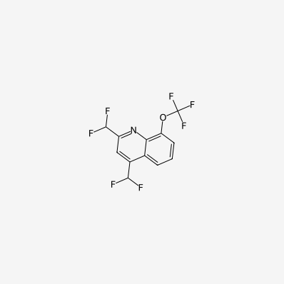 FC(F)c1cc(C(F)F)c2cccc(OC(F)(F)F)c2n1